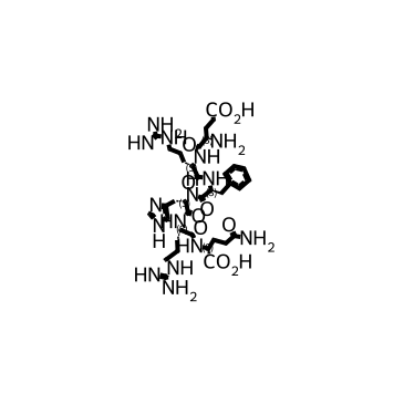 N=C(N)NCCC[C@H](NC(=O)[C@H](Cc1c[nH]cn1)NC(=O)[C@H](Cc1ccccc1)NC(=O)[C@H](CCCNC(=N)N)NC(=O)[C@@H](N)CCC(=O)O)C(=O)N[C@@H](CCC(N)=O)C(=O)O